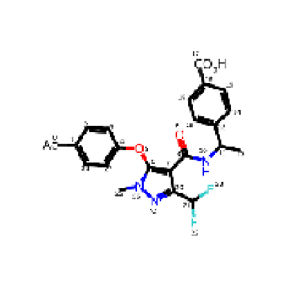 CC(=O)c1ccc(Oc2c(C(=O)NC(C)c3ccc(C(=O)O)cc3)c(C(F)F)nn2C)cc1